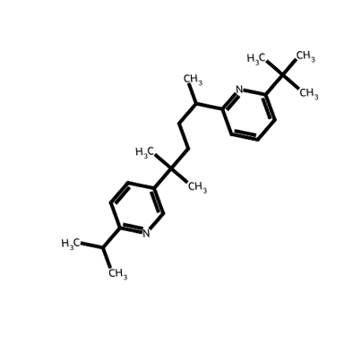 CC(C)c1ccc(C(C)(C)CCC(C)c2cccc(C(C)(C)C)n2)cn1